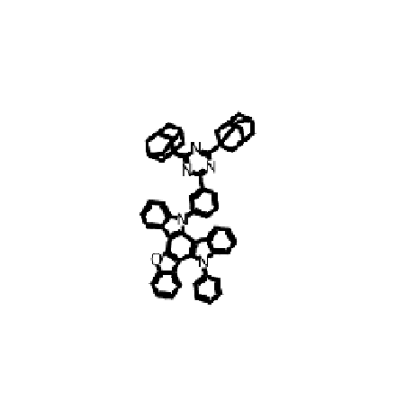 c1ccc(-n2c3ccccc3c3c4c(c5ccccc5n4-c4cccc(-c5nc(C67CC8CC(CC(C8)C6)C7)nc(C67CC8CC(CC(C8)C6)C7)n5)c4)c4oc5ccccc5c4c32)cc1